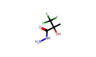 CC(O)(C(=O)NN)C(F)(F)F